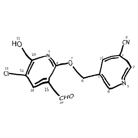 N#Cc1cncc(COc2nc(O)c(Cl)cc2C=O)c1